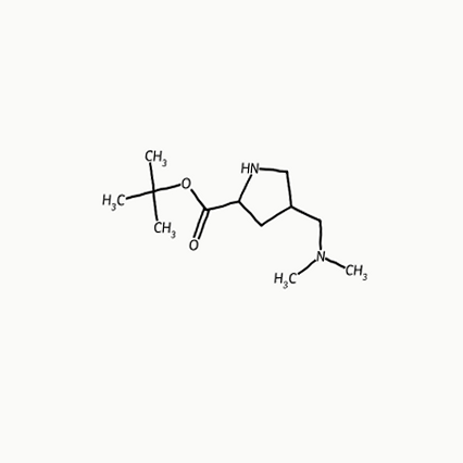 CN(C)CC1CNC(C(=O)OC(C)(C)C)C1